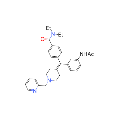 CCN(CC)C(=O)c1ccc(C(=C2CCN(Cc3ccccn3)CC2)c2cccc(NC(C)=O)c2)cc1